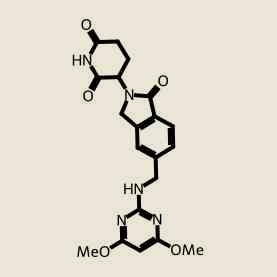 COc1cc(OC)nc(NCc2ccc3c(c2)CN(C2CCC(=O)NC2=O)C3=O)n1